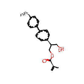 C=C(C)C(=O)OCC(CO)c1ccc(-c2ccc(CCC)cc2)cc1